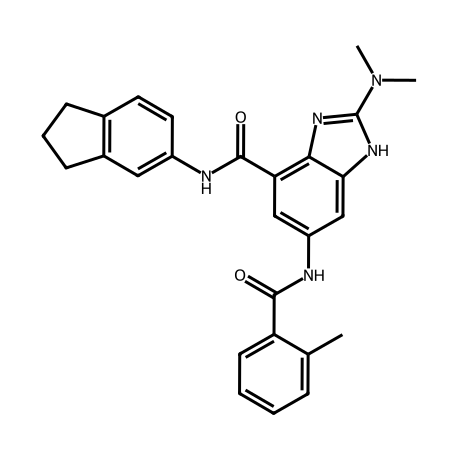 Cc1ccccc1C(=O)Nc1cc(C(=O)Nc2ccc3c(c2)CCC3)c2nc(N(C)C)[nH]c2c1